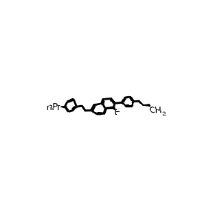 C=CCCc1ccc(-c2ccc3cc(CCc4ccc(CCC)cc4)ccc3c2F)cc1